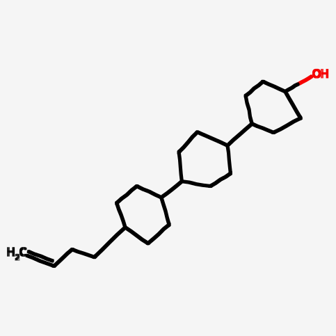 C=CCCC1CCC(C2CCC(C3CCC(O)CC3)CC2)CC1